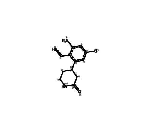 N=Cc1c(N)cc(Cl)cc1N1CCNC(=O)C1